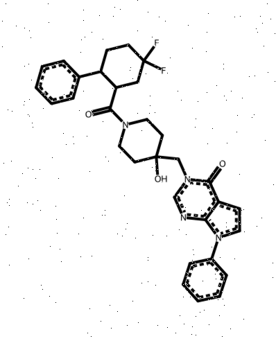 O=C(C1CC(F)(F)CCC1c1ccccc1)N1CCC(O)(Cn2cnc3c(ccn3-c3ccccc3)c2=O)CC1